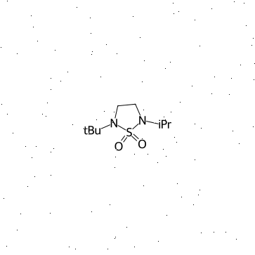 CC(C)N1CCN(C(C)(C)C)S1(=O)=O